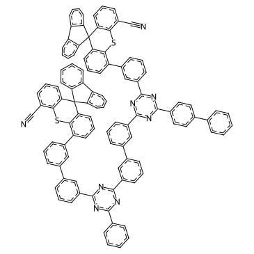 N#Cc1cccc2c1Sc1c(-c3cccc(-c4cccc(-c5nc(-c6ccccc6)nc(-c6cccc(-c7cccc(-c8nc(-c9ccc(-c%10ccccc%10)cc9)nc(-c9cccc(-c%10cccc%11c%10Sc%10c(C#N)cccc%10C%11%10c%11ccccc%11-c%11ccccc%11%10)c9)n8)c7)c6)n5)c4)c3)cccc1C21c2ccccc2-c2ccccc21